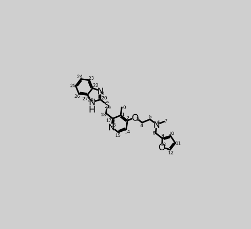 Cc1c(OCCN(C)Cc2ccco2)ccnc1CSc1nc2ccccc2[nH]1